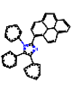 C1=CC2=CC=C3C=CC(c4nc(-c5ccccc5)c(-c5ccccc5)n4-c4ccccc4)=C4C=CC(=C1)C2C34